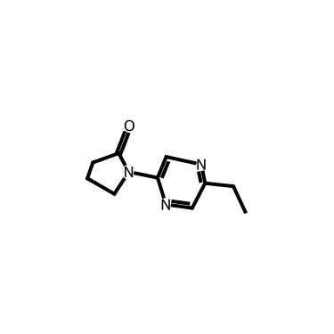 CCc1cnc(N2CCCC2=O)cn1